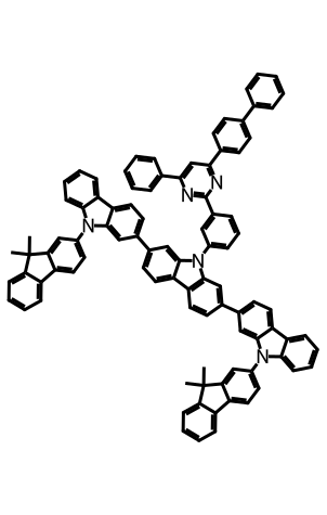 CC1(C)c2ccccc2-c2ccc(-n3c4ccccc4c4ccc(-c5ccc6c7ccc(-c8ccc9c%10ccccc%10n(-c%10ccc%11c(c%10)C(C)(C)c%10ccccc%10-%11)c9c8)cc7n(-c7cccc(-c8nc(-c9ccccc9)cc(-c9ccc(-c%10ccccc%10)cc9)n8)c7)c6c5)cc43)cc21